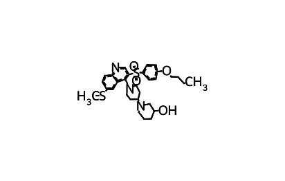 CCCCOc1ccc(S(=O)(=O)c2cnc3ccc(SC)cc3c2N2CCC(N3CCCC(O)C3)CC2)cc1